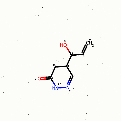 C=CC(O)C1[C]=NNC(=O)C1